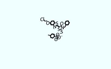 CSC1=[N+](Cc2ccccc2)C(=O)C(=C2Sc3ccc(OCCCl)cc3N2C)S1.Cc1ccc(S(=O)(=O)[O-])cc1